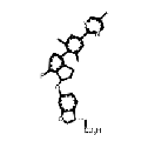 Cc1cnc(-c2cc(C)c(-c3ccc(F)c4c3CC[C@H]4Oc3ccc4c(c3)OC[C@H]4CC(=O)O)c(C)c2)nc1